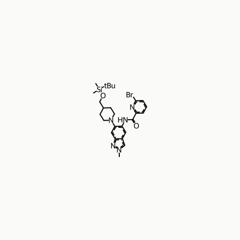 Cn1cc2cc(NC(=O)c3cccc(Br)n3)c(N3CCC(CO[Si](C)(C)C(C)(C)C)CC3)cc2n1